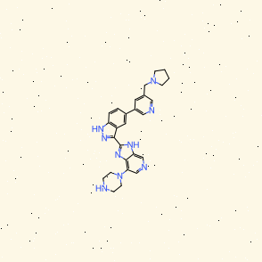 c1ncc(-c2ccc3[nH]nc(-c4nc5c(N6CCNCC6)cncc5[nH]4)c3c2)cc1CN1CCCC1